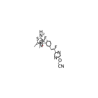 CC1C2[C@@]1(C(=O)N(C)C)SC(N)=N[C@]2(C)c1cc(/C=C(\F)c2cnc(OCC#N)cn2)ccc1F